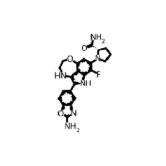 NC(=O)[C@@H]1CCCN1c1cc2c3c(c(-c4ccc5oc(N)nc5c4)[nH]c3c1F)NCCO2